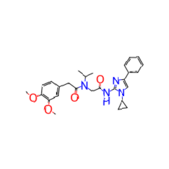 COc1ccc(CC(=O)N(CC(=O)Nc2nc(-c3ccccc3)cn2C2CC2)C(C)C)cc1OC